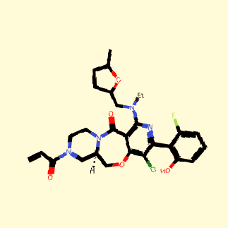 C=CC(=O)N1CCN2C(=O)c3c(N(CC)CC4CCC(C)O4)nc(-c4c(O)cccc4F)c(Cl)c3OC[C@H]2C1